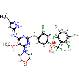 COc1c(Nc2cc(C)[nH]n2)nc(Sc2ccc(S(=O)(=O)C(F)(F)c3c(F)c(F)cc(F)c3F)cc2F)nc1N1CCOCC1